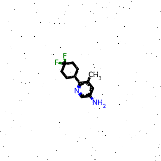 Cc1cc(N)cnc1C1CCC(F)(F)CC1